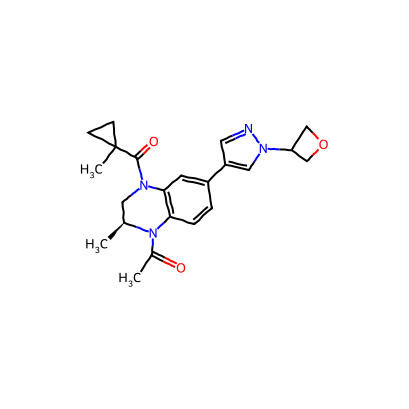 CC(=O)N1c2ccc(-c3cnn(C4COC4)c3)cc2N(C(=O)C2(C)CC2)C[C@@H]1C